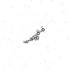 CN(C)[C@H]1CCN(CCn2cc3c(n2)CCc2c-3sc3ncnc(Nc4ccc(OCc5cccc(F)c5)c(Cl)c4)c23)C1